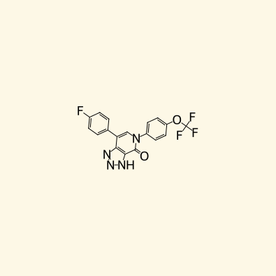 O=c1c2[nH]nnc2c(-c2ccc(F)cc2)cn1-c1ccc(OC(F)(F)F)cc1